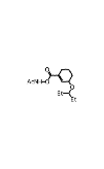 CCC(CC)OC1C=C(C(=O)ONC(C)=O)CCC1